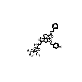 CC(C)(C)OC(=O)NCC(=O)N1C[C@H](OCc2ccc(F)cc2)[C@@H]2[C@H]1CCN2C(=O)OCc1ccccc1